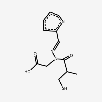 CC(CS)C(=O)N(CC(=O)O)N=Cc1ccccn1